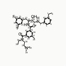 CCc1cccc(CNC[C@@H](O)[C@H](Cc2cc(F)cc(F)c2)NC(=O)c2cc(C)cc(C(=O)N(CC)CCN(C)C)c2)c1